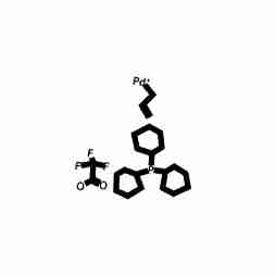 C1CCC(P(C2CCCCC2)C2CCCCC2)CC1.C=C[CH2][Pd+].O=C([O-])C(F)(F)F